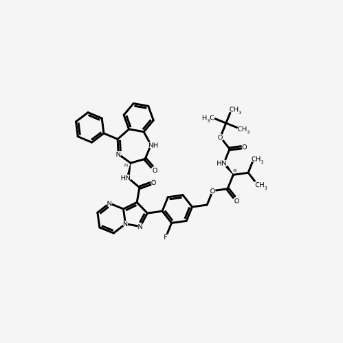 CC(C)[C@H](NC(=O)OC(C)(C)C)C(=O)OCc1ccc(-c2nn3cccnc3c2C(=O)N[C@H]2N=C(c3ccccc3)c3ccccc3NC2=O)c(F)c1